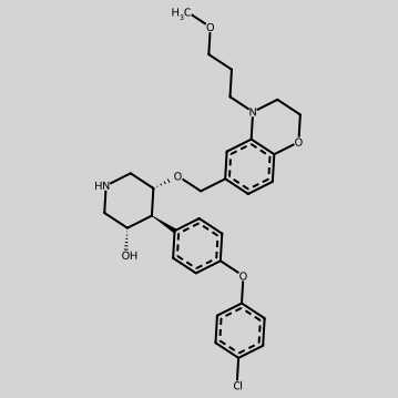 COCCCN1CCOc2ccc(CO[C@H]3CNC[C@@H](O)[C@@H]3c3ccc(Oc4ccc(Cl)cc4)cc3)cc21